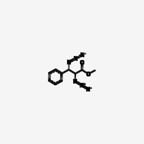 COC(=O)C(N=[N+]=[N-])C(N=[N+]=[N-])c1ccccc1